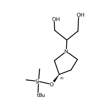 CC(C)(C)[Si](C)(C)O[C@@H]1CCN(C(CO)CO)C1